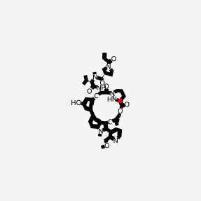 C=CC(=O)N1CC[C@H](C(=O)N(C)[C@H](C(=O)N[C@H]2Cc3cc(O)cc(c3)-c3ccc4c(c3)c(c(-c3cccnc3COC)n4C)CC(C)(C)COC(=O)[C@@H]3CCCN(N3)C2=O)C(C)C)C1